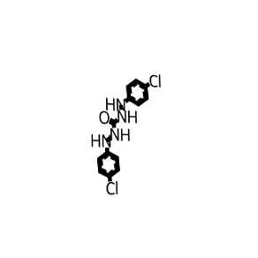 O=C(NNc1ccc(Cl)cc1)NNc1ccc(Cl)cc1